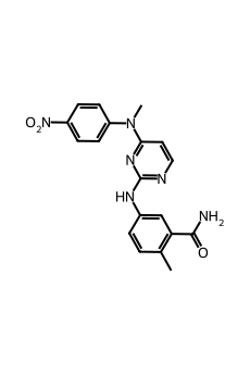 Cc1ccc(Nc2nccc(N(C)c3ccc([N+](=O)[O-])cc3)n2)cc1C(N)=O